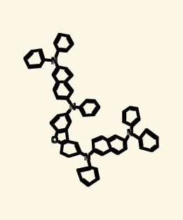 C1=C(N(c2ccccc2)c2ccc3cc(N(c4ccccc4)c4ccccc4)ccc3c2)CCc2oc3ccc(N(c4ccccc4)c4ccc5cc(N(c6ccccc6)c6ccccc6)ccc5c4)cc3c21